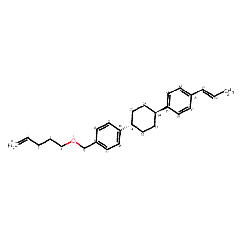 C=CCCCOCc1ccc([C@H]2CC[C@H](c3ccc(C=CC)cc3)CC2)cc1